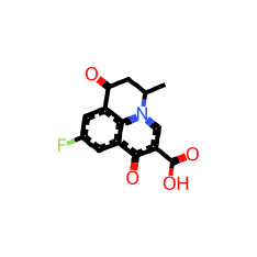 CC1CC(=O)c2cc(F)cc3c(=O)c(C(=O)O)cn1c23